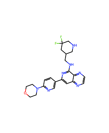 FC1(F)CNCC(CNc2nc(-c3ccc(N4CCOCC4)nc3)cc3nccnc23)C1